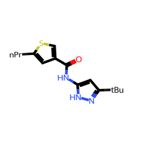 CCCc1cc(C(=O)Nc2cc(C(C)(C)C)n[nH]2)cs1